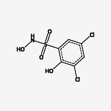 O=S(=O)(NO)c1cc(Cl)cc(Cl)c1O